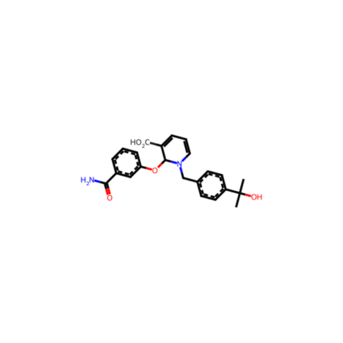 CC(C)(O)c1ccc(CN2C=CC=C(C(=O)O)C2Oc2cccc(C(N)=O)c2)cc1